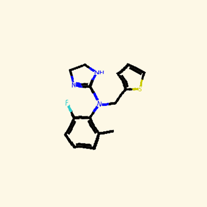 Cc1cccc(F)c1N(Cc1cccs1)C1=NCCN1